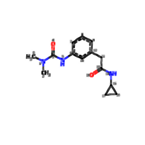 CN(C)C(=O)Nc1cccc(CC(=O)NC2CC2)c1